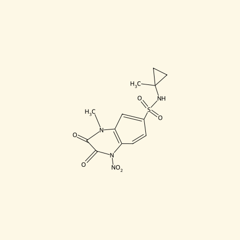 Cn1c(=O)c(=O)n([N+](=O)[O-])c2ccc(S(=O)(=O)NC3(C)CC3)cc21